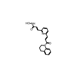 O=C(/C=C/c1cccc(/C=C/C(=O)N2CCCc3ccccc32)n1)NO